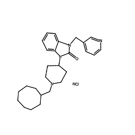 Cl.O=c1n(Cc2cccnc2)c2ccccc2n1C1CCN(CC2CCCCCCC2)CC1